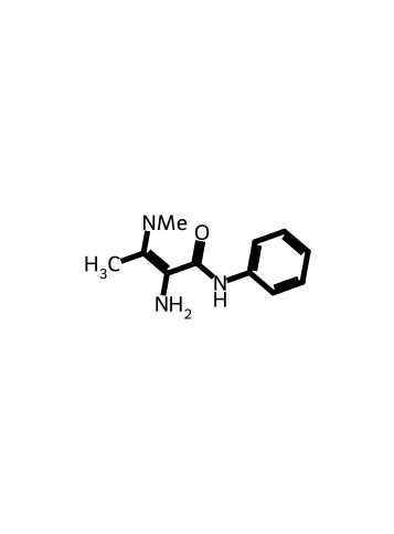 CN/C(C)=C(/N)C(=O)Nc1ccccc1